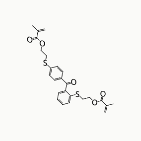 C=C(C)C(=O)OCCSc1ccc(C(=O)c2ccccc2SCCOC(=O)C(=C)C)cc1